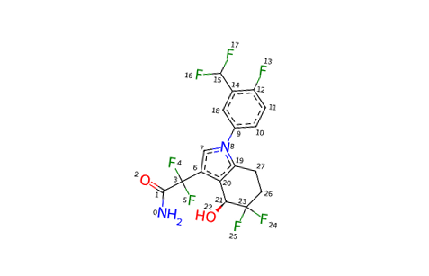 NC(=O)C(F)(F)c1cn(-c2ccc(F)c(C(F)F)c2)c2c1[C@H](O)C(F)(F)CC2